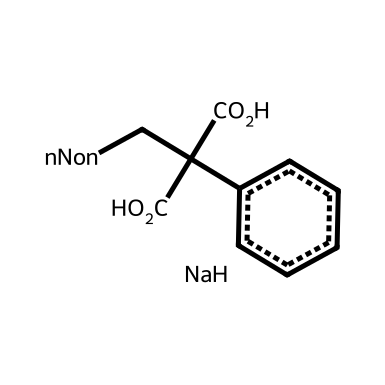 CCCCCCCCCCC(C(=O)O)(C(=O)O)c1ccccc1.[NaH]